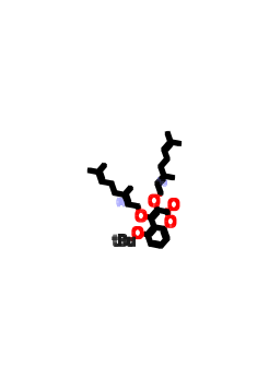 CC(C)=CCC/C(C)=C/COc1c(OC/C=C(\C)CCC=C(C)C)c2c(OC(C)(C)C)cccc2oc1=O